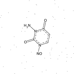 Nn1c(=O)ccn(N=O)c1=O